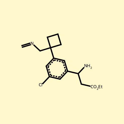 C=NCC1(c2cc(Cl)cc(C(N)CC(=O)OCC)c2)CCC1